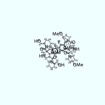 COCC[C@]1(C(=O)N2CCC(OC)CC2)CNC[C@@H](C(=O)N2CCC(OC)CC2)[C@H]1c1cccc(F)c1C.COCC[C@]1(C(=O)N2CCCC[C@@H]2CO)CNC[C@@H](C(=O)N2CCCC[C@@H]2CO)[C@H]1c1cccc(F)c1C